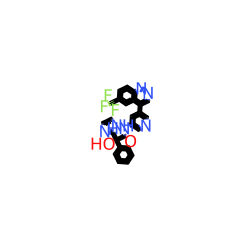 O=C(Nc1cncc(-c2cnnc3ccc(C(F)(F)F)cc23)c1)[C@](O)(c1ccccc1)c1ncc[nH]1